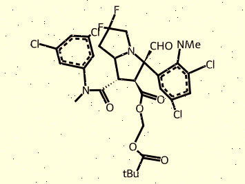 CNc1c(Cl)cc(Cl)cc1[C@]1(C=O)[C@@H](C(=O)OCOC(=O)C(C)(C)C)[C@H](C(=O)N(C)c2cc(Cl)cc(Cl)c2)C2CC(F)(F)CN21